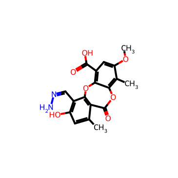 COc1cc(C(=O)O)c2c(c1C)OC(=O)c1c(C)cc(O)c(/C=N\N)c1O2